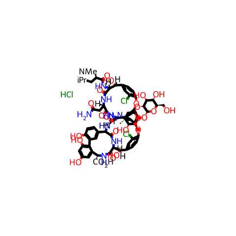 CN[C@H](CC(C)C)C(=O)N[C@H]1C(=O)N[C@@H](CC(N)=O)C(=O)N[C@H]2C(=O)N[C@H]3C(=O)N[C@H](C(=O)N[C@H](C(=O)O)c4cc(O)cc(O)c4-c4cc3ccc4O)[C@H](O)c3ccc(c(Cl)c3)Oc3cc2cc(c3O[C@@H]2O[C@H](CO)[C@@H](O)[C@H](O)[C@H]2O[C@H]2C[C@](C)(N)[C@H](O)[C@H](C)O2)Oc2ccc(cc2Cl)[C@H]1O.Cl